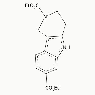 CCOC(=O)c1ccc2c3c([nH]c2c1)CCN(C(=O)OCC)C3